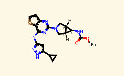 CC(C)(C)OC(=O)N[C@H]1[C@@H]2CN(c3nc(Nc4cc(C5CC5)[nH]n4)c4sccc4n3)C[C@@H]21